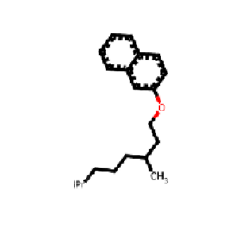 CC(C)CCCC(C)CCOc1ccc2ccccc2c1